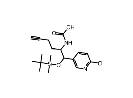 C#CCC[C@@H](NC(=O)O)C(O[Si](C)(C)C(C)(C)C)c1ccc(Cl)nc1